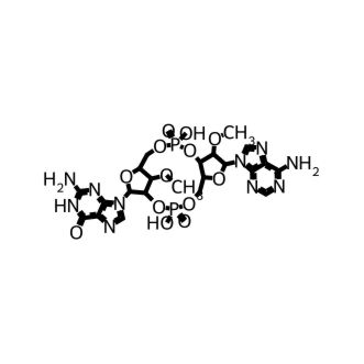 COC1C2COP(=O)(O)OC3C(COP(=O)(O)OC1C(n1cnc4c(=O)[nH]c(N)nc41)O2)OC(n1cnc2c(N)ncnc21)C3OC